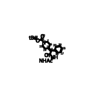 CC(=O)NNC(=O)C(=C1CCN(C(=O)OC(C)(C)C)CC1)c1ccccc1